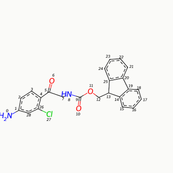 Nc1ccc(C(=O)CNC(=O)OCC2c3ccccc3-c3ccccc32)c(Cl)c1